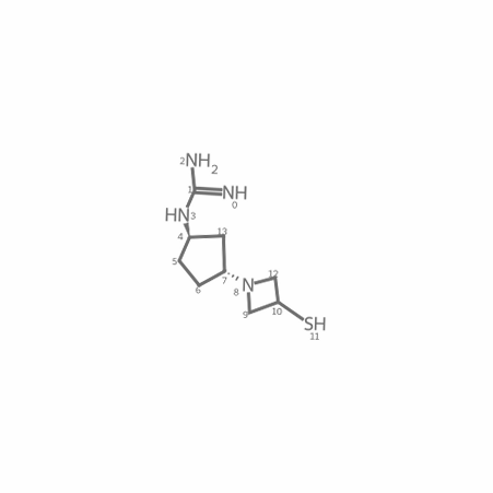 N=C(N)N[C@@H]1CC[C@@H](N2CC(S)C2)C1